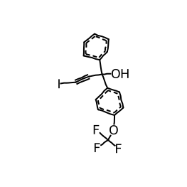 OC(C#CI)(c1ccccc1)c1ccc(OC(F)(F)F)cc1